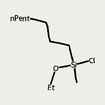 CCCCCCCC[Si](C)(Cl)OCC